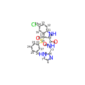 O=C(NCc1ncc[nH]1)c1[nH]c2ccc(Cl)cc2c1S(=O)(=O)c1ccccc1